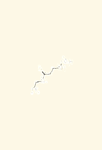 O=C(O)NCCC(=O)NCC(F)(F)F